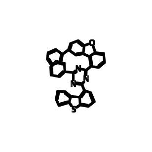 c1ccc(-c2ccc3oc4cccc(-c5nc(-c6ccccc6)nc(-c6cccc7sc8ccccc8c67)n5)c4c3c2)cc1